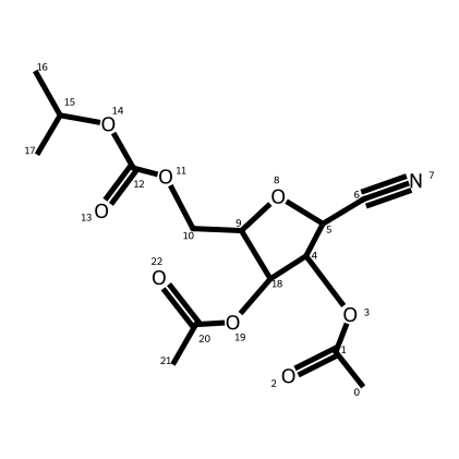 CC(=O)OC1C(C#N)OC(COC(=O)OC(C)C)C1OC(C)=O